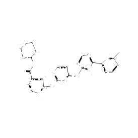 Cc1cccc(-c2nccc(Nc3ccnc(Nc4cc(C(=O)OC5CCNCC5)ccn4)n3)n2)n1